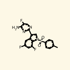 Cc1ccc(S(=O)(=O)n2cc(-c3ncc(F)c(N)n3)c3cc(F)cc(F)c32)cc1